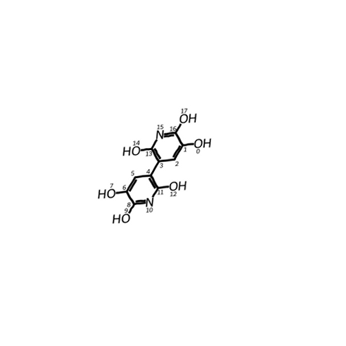 Oc1cc(-c2cc(O)c(O)nc2O)c(O)nc1O